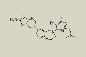 Cc1nc(CN(C)C)nc(N2CCOC3=CCC(C4C=c5nc(N)sc5=NC4)C=C3C2)c1Br